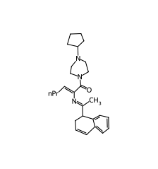 CCC/C=C(\N=C(/C)C1CC=Cc2ccccc21)C(=O)N1CCN(C2CCCC2)CC1